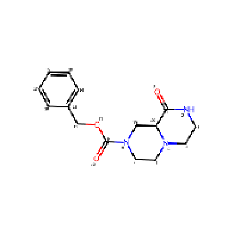 O=C1NCCN2CCN(C(=O)OCc3ccccc3)CC12